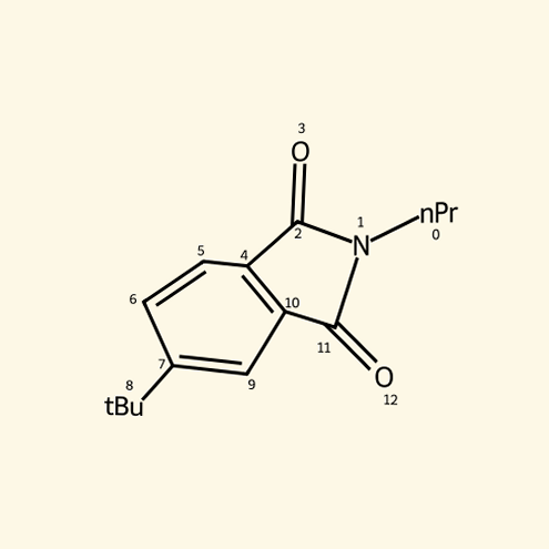 CCCN1C(=O)c2ccc(C(C)(C)C)cc2C1=O